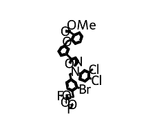 COC(=O)c1ccccc1Oc1cccc(-c2cnc(N(Cc3ccc(CP(=O)(OF)OF)c(Br)c3)c3ccc(Cl)c(Cl)c3)o2)c1